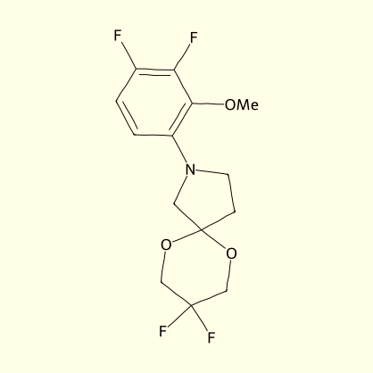 COc1c(N2CCC3(C2)OCC(F)(F)CO3)ccc(F)c1F